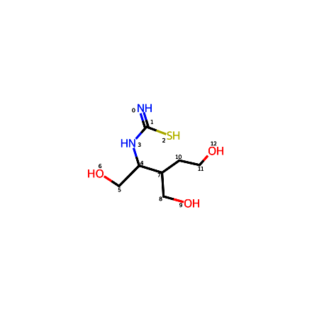 N=C(S)NC(CO)C(CO)CCO